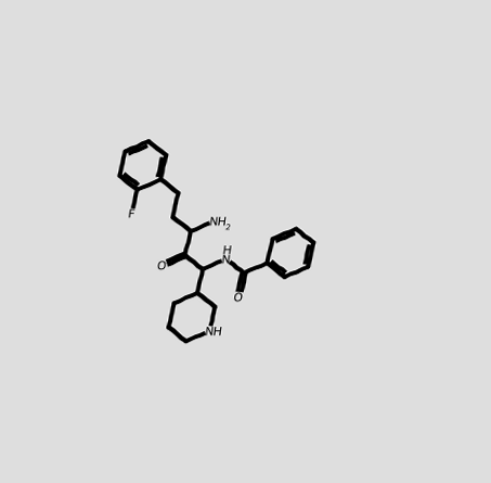 NC(CCc1ccccc1F)C(=O)C(NC(=O)c1ccccc1)C1CCCNC1